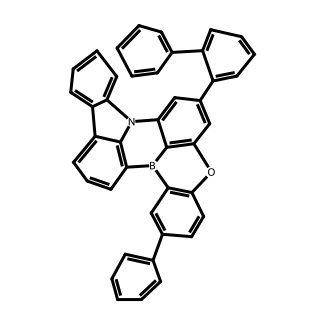 c1ccc(-c2ccc3c(c2)B2c4c(cc(-c5ccccc5-c5ccccc5)cc4-n4c5ccccc5c5cccc2c54)O3)cc1